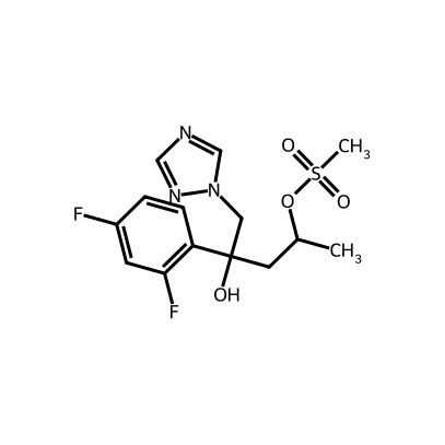 CC(CC(O)(Cn1cncn1)c1ccc(F)cc1F)OS(C)(=O)=O